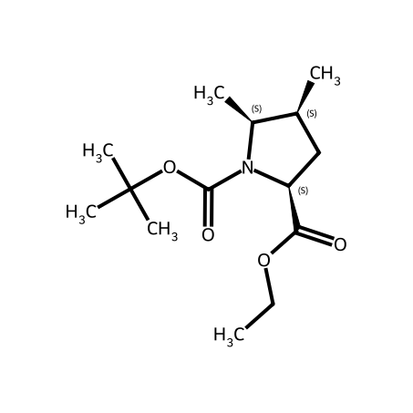 CCOC(=O)[C@@H]1C[C@H](C)[C@H](C)N1C(=O)OC(C)(C)C